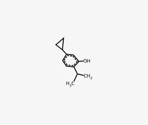 CC(C)c1ccc(C2CC2)cc1O